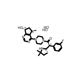 C[C@@H]1C[C@@H](O)c2ncnc(N3CCN(C(=O)[C@@H](c4cccc(F)c4)[C@@H]4CCC(C)(C)N4)CC3)c21.Cl.Cl